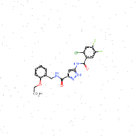 O=C(O)COc1ccccc1CNC(=O)c1cc(NC(=O)c2cc(F)c(F)cc2Cl)[nH]n1